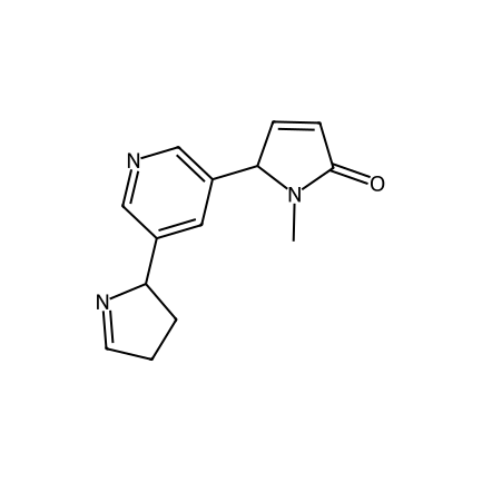 CN1C(=O)C=CC1c1cncc(C2CCC=N2)c1